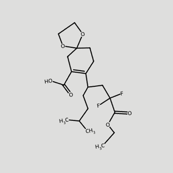 CCOC(=O)C(F)(F)CC(CCC(C)C)C1=C(C(=O)O)CC2(CC1)OCCO2